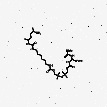 CCCCCC(NC(=O)NC)NC(=O)OC[Si](C)(C)O[Si](C)(C)COC(=O)NCCCCCCNC(=O)NC(C)CCC(C)N